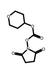 O=C(OC1CCOCC1)ON1C(=O)CCC1=O